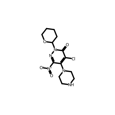 O=c1c(Cl)c(N2CCNCC2)c([N+](=O)[O-])nn1C1CCCCO1